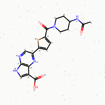 CC(=O)NC1CCN(C(=O)c2ccc(-c3cnc4[nH]cc(C(=O)O)c4n3)s2)CC1